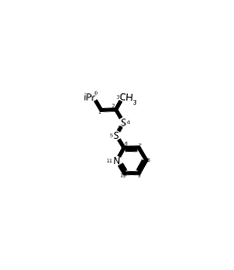 CC(C)CC(C)SSc1ccccn1